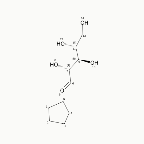 C1CCCC1.O=C[C@H](O)[C@H](O)[C@H](O)CO